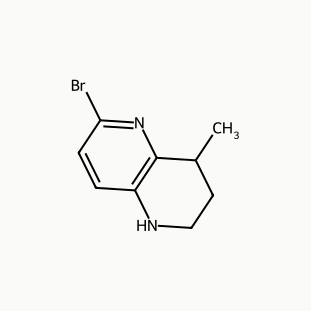 CC1CCNc2ccc(Br)nc21